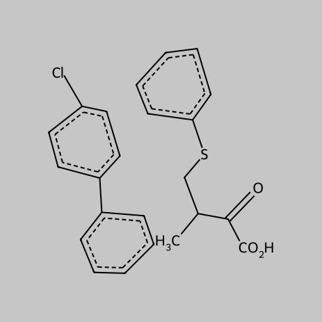 CC(CSc1ccccc1)C(=O)C(=O)O.Clc1ccc(-c2ccccc2)cc1